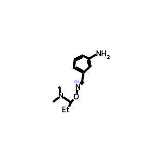 CCC(O/N=C/c1cccc(N)c1)N(C)C